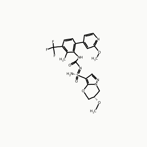 COc1cc(-c2ccc(C(F)(F)F)c(C)c2NC(=O)N=[S@](N)(=O)c2cnn3c2OC[C@@H](OC)C3)ccn1